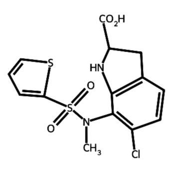 CN(c1c(Cl)ccc2c1NC(C(=O)O)C2)S(=O)(=O)c1cccs1